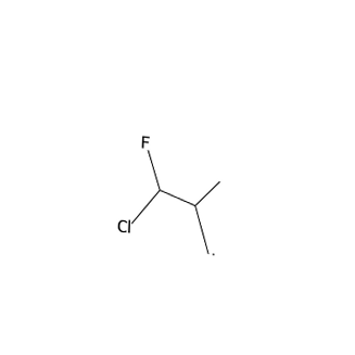 [CH2]C(C)C(F)Cl